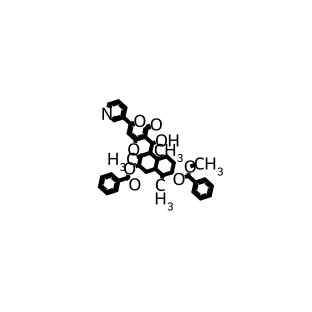 COC(OC1CCC2(C)C(CC(OC(=O)c3ccccc3)C3(C)Oc4cc(-c5cccnc5)oc(=O)c4C(O)C23)C1C)c1ccccc1